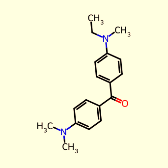 CCN(C)c1ccc(C(=O)c2ccc(N(C)C)cc2)cc1